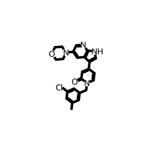 Cc1cc(Cl)cc(Cn2ccc(-c3c[nH]c4ncc(N5CCOCC5)cc34)cc2=O)c1